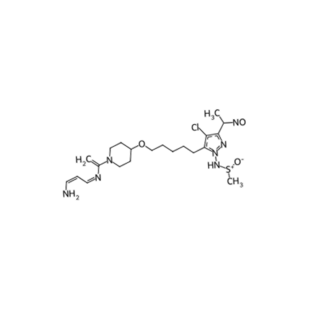 C=C(/N=C\C=C/N)N1CCC(OCCCCCc2c(Cl)c(C(C)N=O)nn2N[S+](C)[O-])CC1